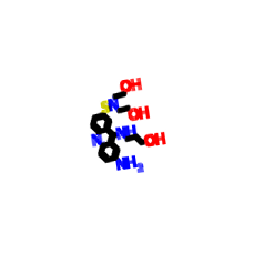 Nc1ccc2nc3ccc(SN(CCO)CCO)cc3c(NCCCO)c2c1